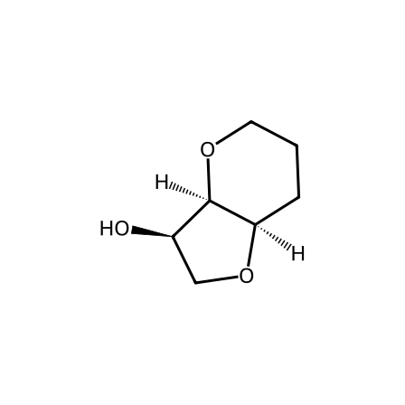 O[C@@H]1CO[C@@H]2CCCO[C@H]12